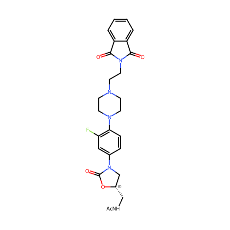 CC(=O)NC[C@H]1CN(c2ccc(N3CCN(CCN4C(=O)c5ccccc5C4=O)CC3)c(F)c2)C(=O)O1